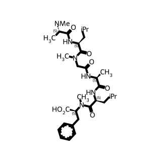 CN[C@@H](C)C(=O)N[C@@H](CC(C)C)C(=O)N(C)CC(=O)N[C@@H](C)C(=O)N[C@@H](CC(C)C)C(=O)N(C)[C@@H](Cc1ccccc1)C(=O)O